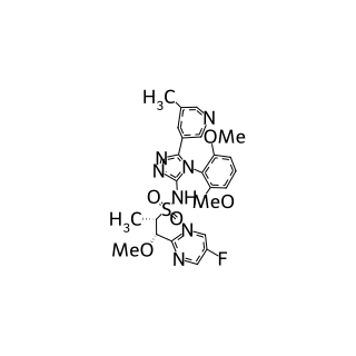 COc1cccc(OC)c1-n1c(NS(=O)(=O)[C@@H](C)[C@@H](OC)c2ncc(F)cn2)nnc1-c1cncc(C)c1